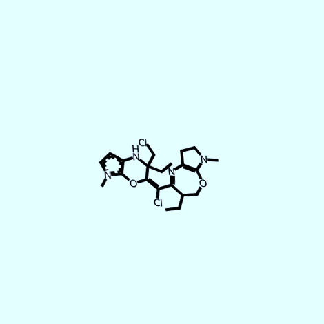 CCC1COC2=C(CCN2C)N=C1/C(Cl)=C1/Oc2c(ccn2C)NC1(CC)CCl